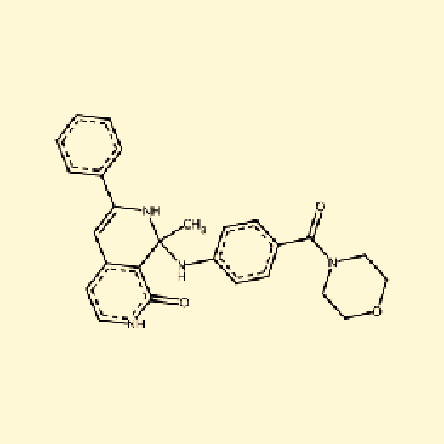 CC1(Nc2ccc(C(=O)N3CCOCC3)cc2)NC(c2ccccc2)=Cc2cc[nH]c(=O)c21